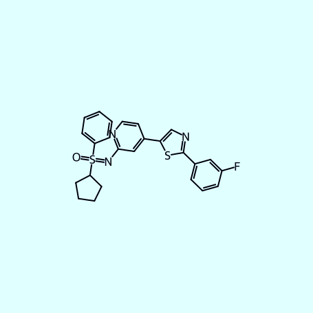 O=S(=Nc1cc(-c2cnc(-c3cccc(F)c3)s2)ccn1)(c1ccccc1)C1CCCC1